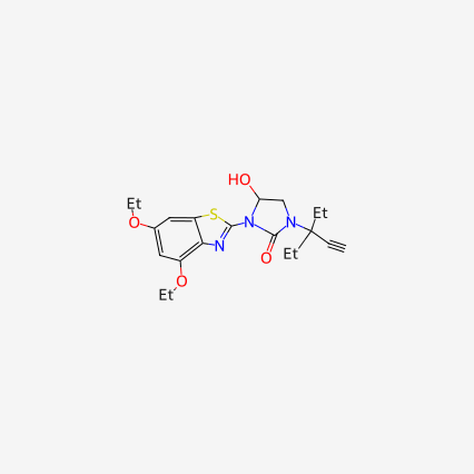 C#CC(CC)(CC)N1CC(O)N(c2nc3c(OCC)cc(OCC)cc3s2)C1=O